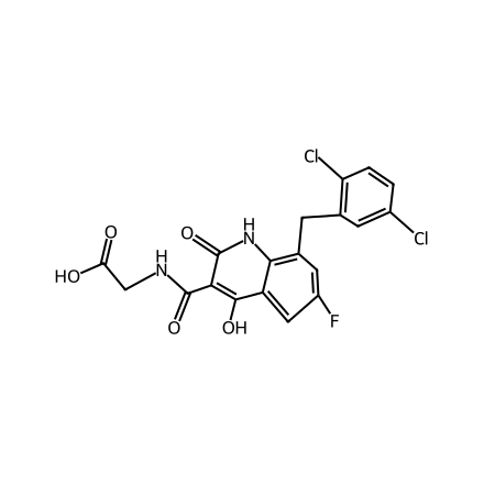 O=C(O)CNC(=O)c1c(O)c2cc(F)cc(Cc3cc(Cl)ccc3Cl)c2[nH]c1=O